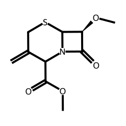 C=C1CSC2[C@@H](OC)C(=O)N2C1C(=O)OC